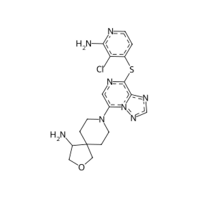 Nc1nccc(Sc2ncc(N3CCC4(CC3)COCC4N)n3ncnc23)c1Cl